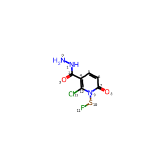 NNC(=O)c1ccc(=O)n(SF)c1Cl